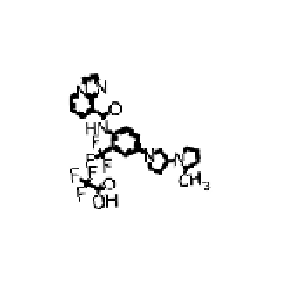 CC1CCCN1C1CCN(c2ccc(NC(=O)c3cccn4ccnc34)c(C(F)(F)F)c2)C1.O=C(O)C(F)(F)F